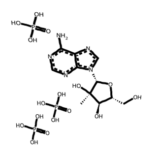 C[C@@]1(O)[C@H](O)[C@@H](CO)O[C@H]1n1cnc2c(N)ncnc21.O=P(O)(O)O.O=P(O)(O)O.O=P(O)(O)O